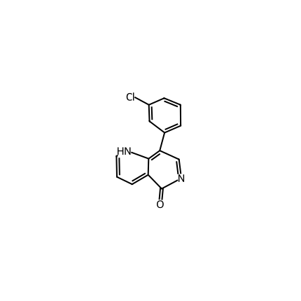 O=c1ncc(-c2cccc(Cl)c2)c2[nH]cccc1-2